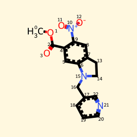 COC(=O)c1cc2c(cc1[N+](=O)[O-])CCN2Cc1cccnc1